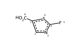 O=C(O)c1cnc(F)s1